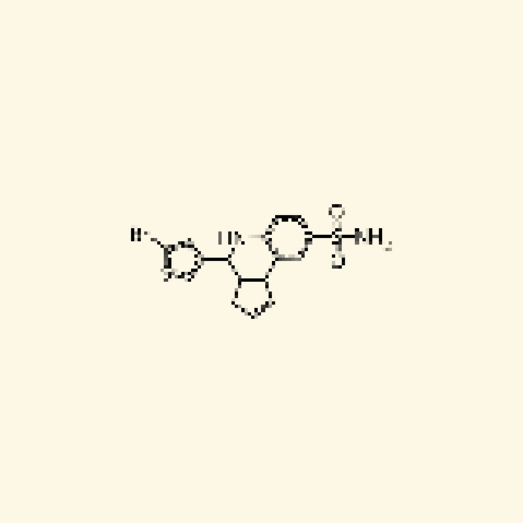 NS(=O)(=O)c1ccc2c(c1)C1C=CCC1C(c1csc(Br)c1)N2